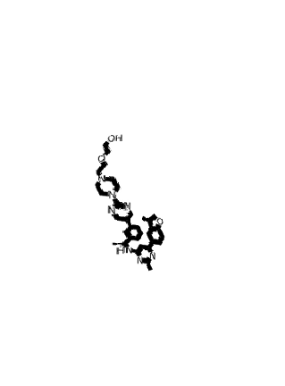 Cc1nc(N[C@@H](C)c2cccc(-c3cnc(N4CCN(CCOCCO)CC4)nc3)c2)cc(-c2ccc3occ(C)c3c2)n1